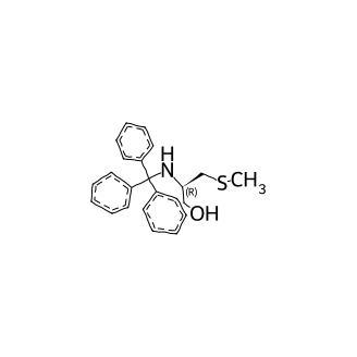 CSC[C@@H](CO)NC(c1ccccc1)(c1ccccc1)c1ccccc1